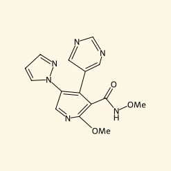 CONC(=O)c1c(OC)ncc(-n2cccn2)c1-c1cncnc1